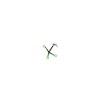 BC(Cl)(Cl)Cl